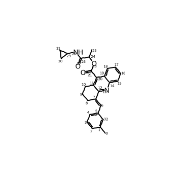 Cc1cccc(/C=C2\CCCc3c2nc2ccccc2c3C(=O)OC(C)C(=O)NC2CC2)c1